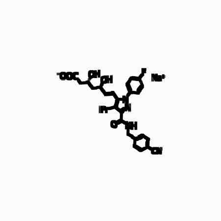 CC(C)c1c(C(=O)NCc2ccc(C#N)cc2)nn(-c2ccc(F)cc2)c1C=C[C@H](O)C[C@@H](O)CC(=O)[O-].[Na+]